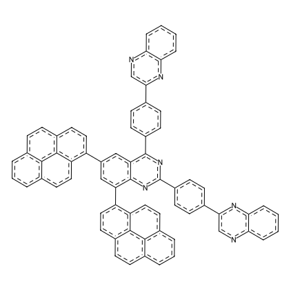 c1cc2ccc3ccc(-c4cc(-c5ccc6ccc7cccc8ccc5c6c78)c5nc(-c6ccc(-c7cnc8ccccc8n7)cc6)nc(-c6ccc(-c7cnc8ccccc8n7)cc6)c5c4)c4ccc(c1)c2c34